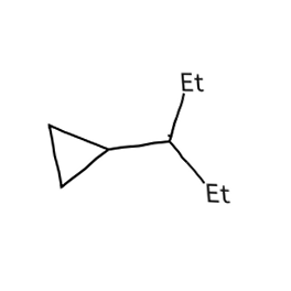 CC[C](CC)C1CC1